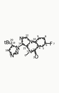 Cn1c(=O)c2cc(F)ccc2n2cnc(-n3nncc3C(C)(C)C)c12